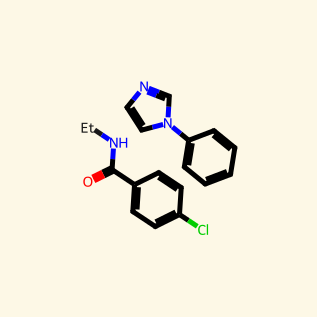 CCNC(=O)c1ccc(Cl)cc1.c1ccc(-n2ccnc2)cc1